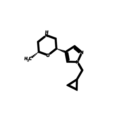 C[C@@H]1CNC[C@H](c2cnn(CC3CC3)c2)O1